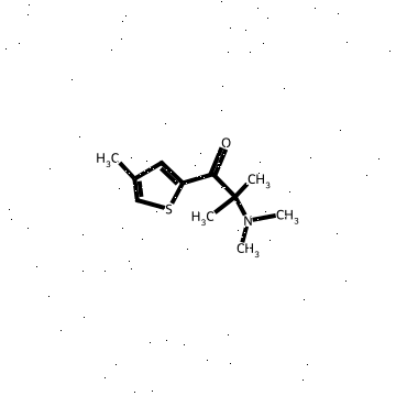 Cc1csc(C(=O)C(C)(C)N(C)C)c1